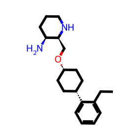 CCc1ccccc1[C@H]1CC[C@@H](OC[C@@H]2NCCC[C@@H]2N)CC1